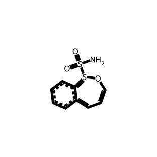 NS(=O)(=O)S1=c2ccccc2=CC=CO1